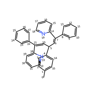 Cc1ccc(C(C=C(c2ccccc2)c2ccccn2)C=C(c2ccccc2)c2ccccn2)cc1